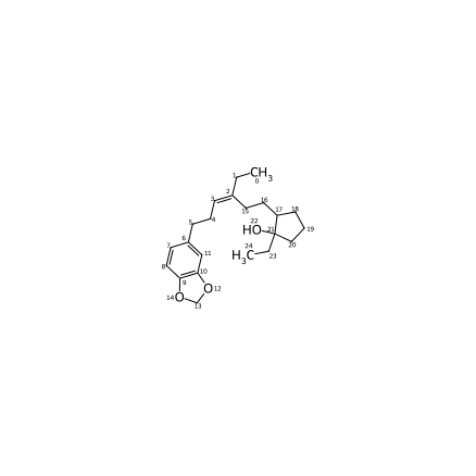 CCC(=CCCc1ccc2c(c1)OCO2)CCC1CCCC1(O)CC